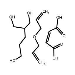 C=CCOCC=C.O=C(O)/C=C\C(=O)O.OCCCC(CO)CO